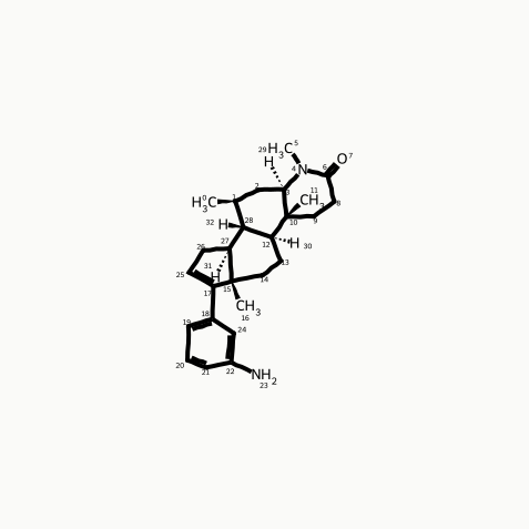 C[C@H]1C[C@H]2N(C)C(=O)CC[C@]2(C)[C@H]2CC[C@]3(C)C(c4cccc(N)c4)=CC[C@H]3[C@H]12